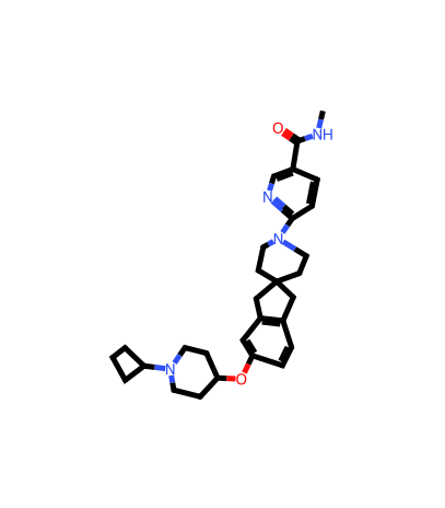 CNC(=O)c1ccc(N2CCC3(CC2)Cc2ccc(OC4CCN(C5CCC5)CC4)cc2C3)nc1